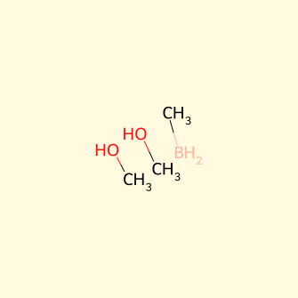 BC.CO.CO